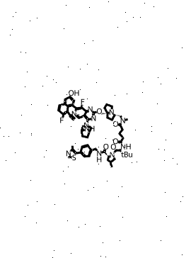 C#Cc1c(F)ccc2cc(O)cc(-c3ncc4c(N5CC6CCC(C5)N6)nc(OC[C@]56CCCN5[C@H](CN(C)C(=O)CCCC(=O)N[C@H](C(=O)N5CC(C)C[C@H]5C(=O)NCc5ccc(-c7scnc7C)cc5)C(C)(C)C)CC6)nc4c3F)c12